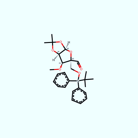 CO[C@H]1[C@H]2OC(C)(C)O[C@H]2O[C@]1(C=O)CO[Si](c1ccccc1)(c1ccccc1)C(C)(C)C